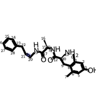 Cc1cc(O)cc(C)c1C[C@H](N)C(=O)N[C@H](C)C(=O)N/C=C\Cc1ccccc1